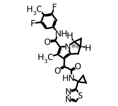 Cc1c(F)cc(NC(=O)c2c(C)c(C(=O)C(=O)NC3(c4nncs4)CC3)c3n2[C@@H]2C[C@@H]2C3)cc1F